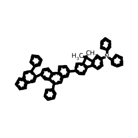 CC1(C)c2cc(-c3ccc4c(c3)cc(-c3ccccc3)c3cc(-c5cc6ccccc6cc5-c5ccccc5)ccc34)ccc2-c2ccc(N(c3ccccc3)c3ccccc3)cc21